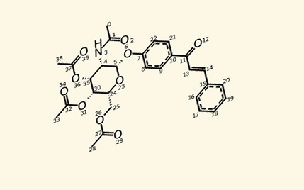 CC(=O)N[C@@H]1[C@H](Oc2ccc(C(=O)/C=C/c3ccccc3)cc2)O[C@H](COC(C)=O)[C@H](OC(C)=O)[C@@H]1OC(C)=O